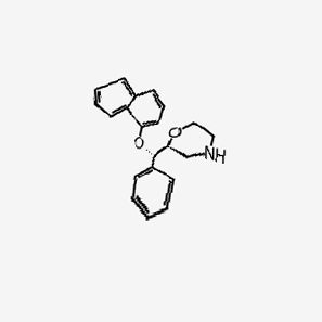 c1ccc([C@H](Oc2cccc3ccccc23)[C@@H]2CNCCO2)cc1